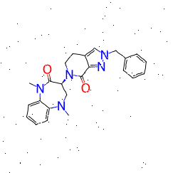 CN1C[C@H](N2CCc3cn(Cc4ccccc4)nc3C2=O)C(=O)N(C)c2ccccc21